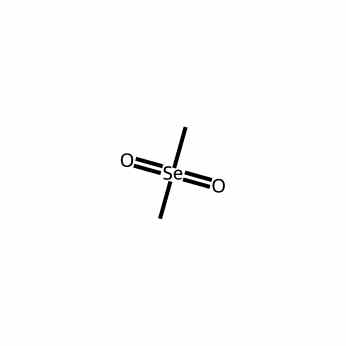 C[Se](C)(=O)=O